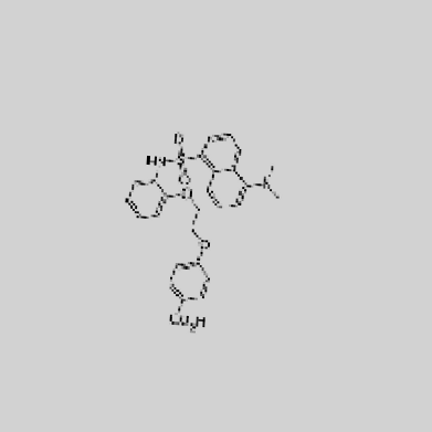 CN(C)c1cccc2c(S(=O)(=O)Nc3ccccc3OCCOc3ccc(C(=O)O)cc3)cccc12